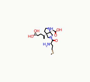 C=C(CCB(O)O)[C@]12CCN[C@@]1(CC(=O)O)CN(C(=O)[C@@H](N)CCSC)C2